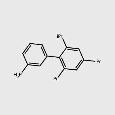 CC(C)c1cc(C(C)C)c(-c2cccc(P)c2)c(C(C)C)c1